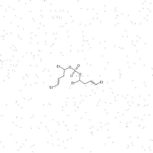 CC/C=C/CC(CC)OS(=O)(=O)OC(CC)C/C=C/CC